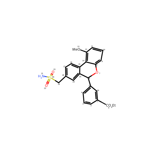 CCOC(=O)c1cccc(C2Oc3cccc(OC)c3-c3ccc(CS(N)(=O)=O)cc32)c1